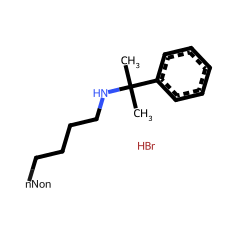 Br.CCCCCCCCCCCCCNC(C)(C)c1ccccc1